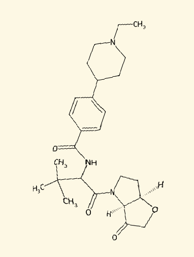 CCN1CCC(c2ccc(C(=O)NC(C(=O)N3CC[C@H]4OCC(=O)[C@H]43)C(C)(C)C)cc2)CC1